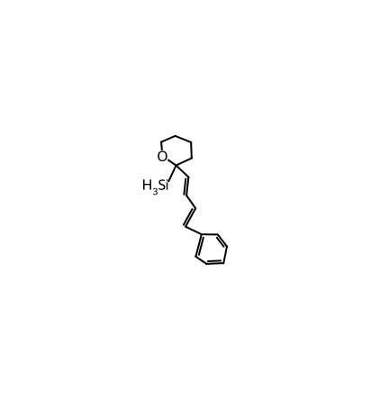 [SiH3]C1(C=CC=Cc2ccccc2)CCCCO1